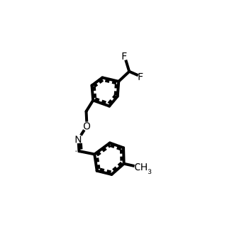 Cc1ccc(/[C]=N\OCc2ccc(C(F)F)cc2)cc1